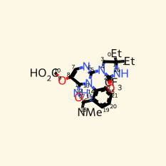 CCC1(CC)CN(C2=NC=C(OC(=O)O)C(N)N2c2c(C(=O)NC)cccc2C(F)(F)F)C(=O)N1